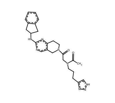 CC(=O)N(CCCc1c[nH]nn1)CC(=O)N1CCc2nc(NC3Cc4ccccc4C3)ncc2C1